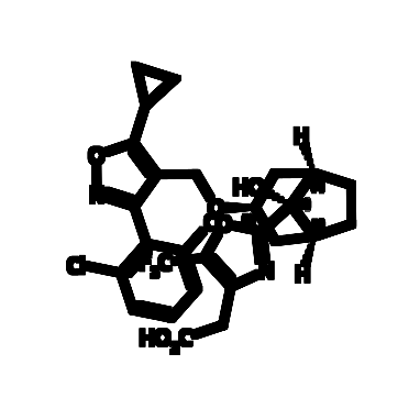 O=C(O)Cc1nc([C@@]2(O)[C@@H]3CC[C@H]2C[C@@H](OCc2c(-c4c(Cl)cccc4Cl)noc2C2CC2)C3)oc1C(F)(F)F